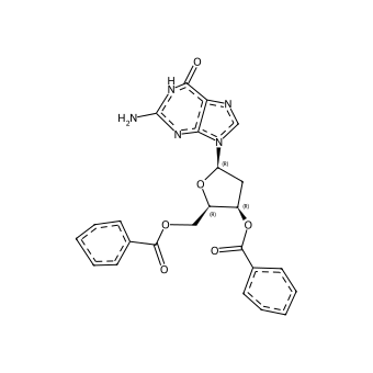 Nc1nc2c(ncn2[C@H]2C[C@@H](OC(=O)c3ccccc3)[C@@H](COC(=O)c3ccccc3)O2)c(=O)[nH]1